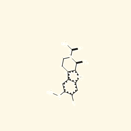 C=C1c2[nH]c3cc(Cl)c(OC)cc3c2CCN1C(C)=O